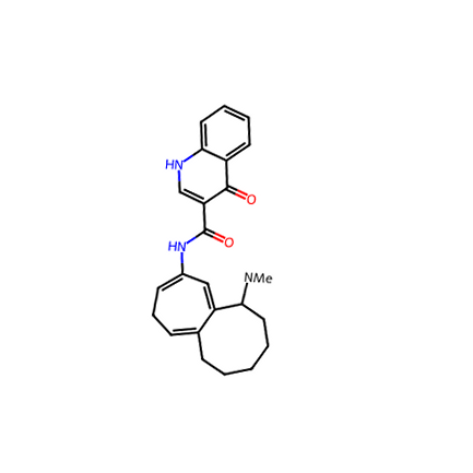 CNC1CCCCCC2=CCC=C(NC(=O)c3c[nH]c4ccccc4c3=O)C=C21